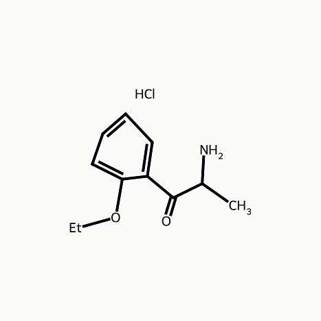 CCOc1ccccc1C(=O)C(C)N.Cl